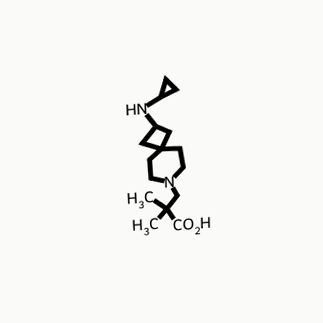 CC(C)(CN1CCC2(CC1)CC(NC1CC1)C2)C(=O)O